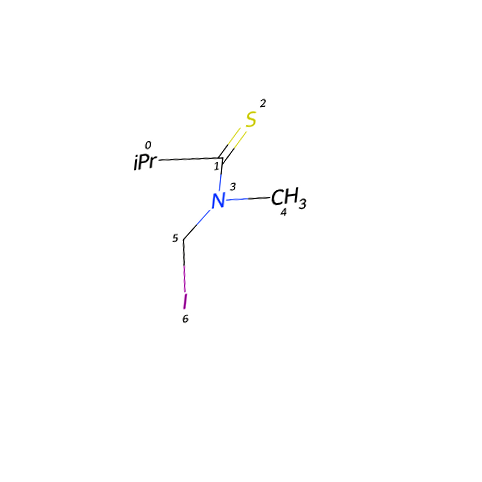 CC(C)C(=S)N(C)CI